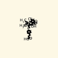 CCCC1(CC)NC(CSc2ccc(CCC(=O)O)cc2)=C(C(=O)O)N1Cc1cc2c(cc1Cl)OCO2